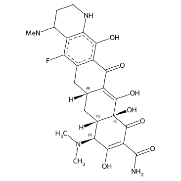 CNC1CCNc2c(O)c3c(c(F)c21)C[C@H]1C[C@H]2[C@H](N(C)C)C(O)=C(C(N)=O)C(=O)[C@@]2(O)C(O)=C1C3=O